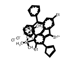 CCc1cc2c(c(=C(c3ccccc3)c3ccccc3)c1)=c1c([Si](C)(C)C)c([Si](C)(C)C)c(CC)c(C3=CC=CC3)c1=[C]2[Zr+2].[Cl-].[Cl-]